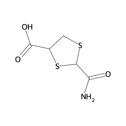 NC(=O)C1SCC(C(=O)O)S1